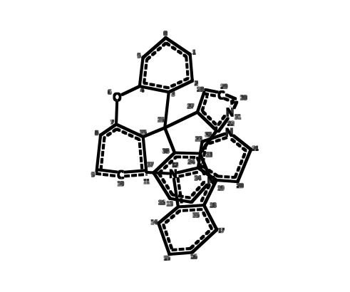 c1ccc2c(c1)Oc1cccc(-n3c4ccccc4c4ccncc43)c1C21c2cccnc2-c2ncccc21